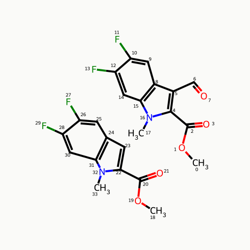 COC(=O)c1c(C=O)c2cc(F)c(F)cc2n1C.COC(=O)c1cc2cc(F)c(F)cc2n1C